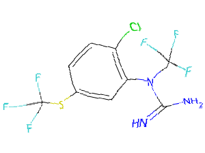 N=C(N)N(c1cc(SC(F)(F)F)ccc1Cl)C(F)(F)F